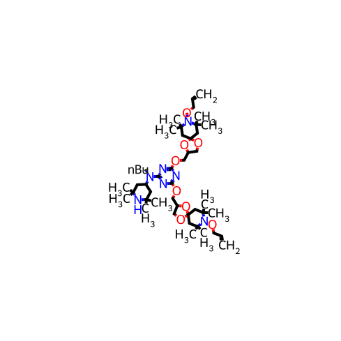 C=CCON1C(C)(C)CC2(CC1(C)C)OCC(COc1nc(OCC3COC4(CC(C)(C)N(OCC=C)C(C)(C)C4)O3)nc(N(CCCC)C3CC(C)(C)NC(C)(C)C3)n1)O2